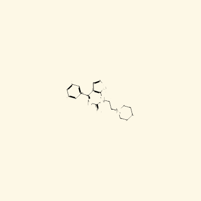 O=c1nc(-c2ccccc2)c2ccsc2n1CCN1CCCCC1